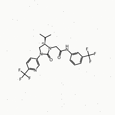 CC(C)[C@@H]1CN(c2ccc(C(F)(F)F)nc2)C(=O)N1CC(=O)Nc1cccc(C(F)(F)F)c1